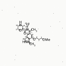 COCCCOc1cc([C@@H](C)N(C(=O)[C@H]2CNCCO2)C2CC2)cc2c1N(C)NC2